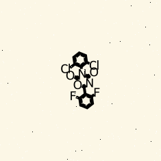 O=c1nc(-c2c(F)cccc2F)oc(=O)n1-c1c(Cl)cccc1Cl